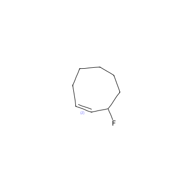 FC1/C=C\CCCCC1